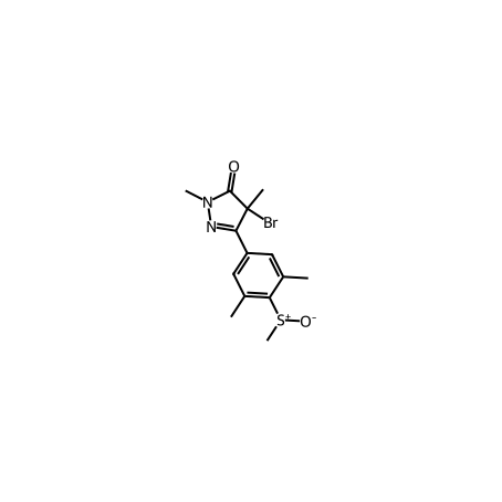 Cc1cc(C2=NN(C)C(=O)C2(C)Br)cc(C)c1[S+](C)[O-]